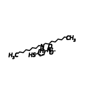 CCCCCCCCNCCCCCCCC.O=[N+]([O-])c1ccc(S)cc1